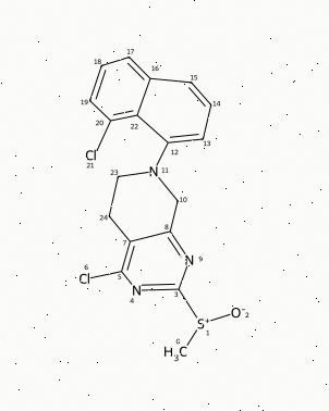 C[S+]([O-])c1nc(Cl)c2c(n1)CN(c1cccc3cccc(Cl)c13)CC2